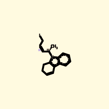 C[C@@H](/C=I\CI)n1c2c(c3ccccc31)C=CCC2